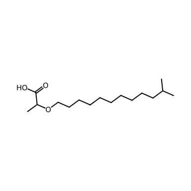 CC(C)CCCCCCCCCCOC(C)C(=O)O